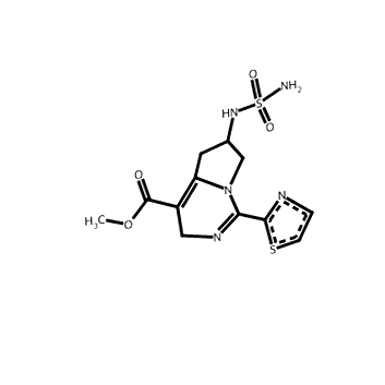 COC(=O)C1=C2CC(NS(N)(=O)=O)CN2C(c2nccs2)=NC1